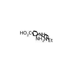 CCn1ccc(CNc2ccc(C(=O)O)cc2N)n1